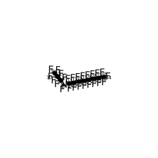 FN(C(F)(F)C(F)(F)C(F)(F)F)C(F)(F)C(F)(F)C(F)(F)C(F)(F)C(F)(F)C(F)(F)C(F)(F)C(F)(F)F